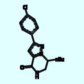 CCCCC1CNC(=O)c2cc(-c3ccc(Cl)cc3)nn21